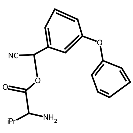 CC(C)C(N)C(=O)OC(C#N)c1cccc(Oc2ccccc2)c1